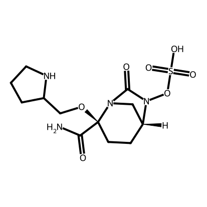 NC(=O)[C@@]1(OCC2CCCN2)CC[C@@H]2CN1C(=O)N2OS(=O)(=O)O